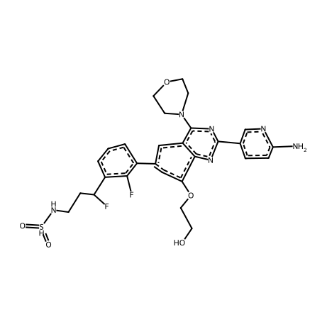 Nc1ccc(-c2nc(N3CCOCC3)c3cc(-c4cccc(C(F)CCN[SH](=O)=O)c4F)cc(OCCO)c3n2)cn1